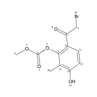 COC(=O)Oc1c(C(=O)CBr)ccc(O)c1C